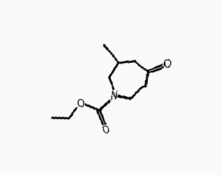 CCOC(=O)N1CCC(=O)CC(C)C1